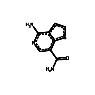 NC(=O)c1cnc(N)c2ccsc12